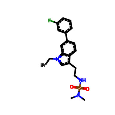 CC(C)Cn1cc(CCNS(=O)(=O)N(C)C)c2ccc(-c3cccc(F)c3)cc21